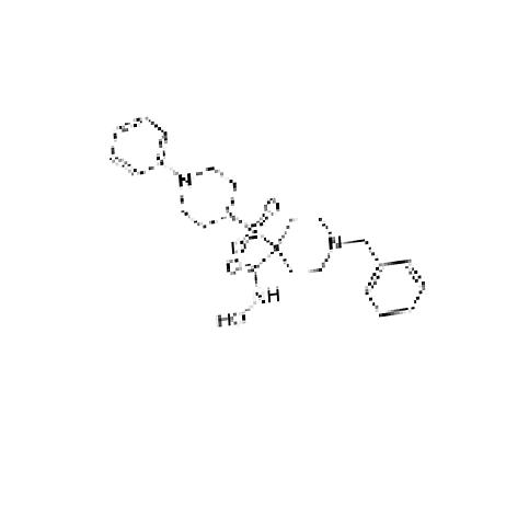 O=C(NO)C1(S(=O)(=O)N2CCN(c3ccccc3)CC2)CCN(Cc2ccccc2)CC1